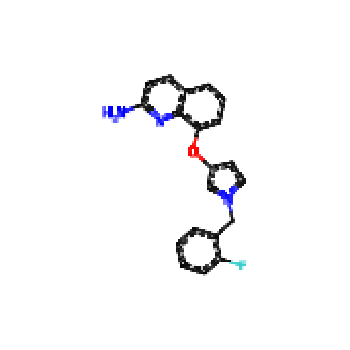 Nc1ccc2cccc(Oc3ccn(Cc4ccccc4F)c3)c2n1